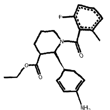 CCOC(=O)C1CCCN(C(=O)c2c(C)cccc2F)C1[C@@H]1C=CC(N)=CC1